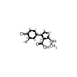 CNc1scc(-c2ccc(Cl)c(F)c2)c1C(=O)O